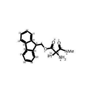 CNC(=O)C(N)(C(=O)OCC1c2ccccc2-c2ccccc21)C(C)C